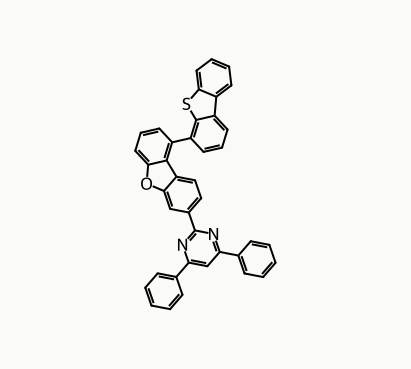 c1ccc(-c2cc(-c3ccccc3)nc(-c3ccc4c(c3)oc3cccc(-c5cccc6c5sc5ccccc56)c34)n2)cc1